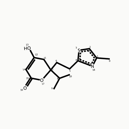 Cc1csc(CCC2(C(C)C)CC(O)=CC(=O)O2)n1